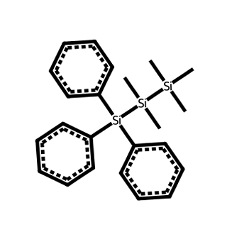 C[Si](C)(C)[Si](C)(C)[Si](c1ccccc1)(c1ccccc1)c1ccccc1